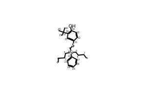 CCCC[Si](CCCC)(CSc1ccc(O)c(C(C)(C)C)c1)c1ccccc1